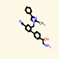 Cc1nc(-c2ccccc2)cn1Cc1cc(C#N)ccc1-c1ccc(C(O)CN)cc1